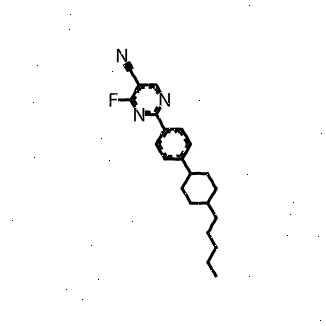 CCCCCC1CCC(c2ccc(-c3ncc(C#N)c(F)n3)cc2)CC1